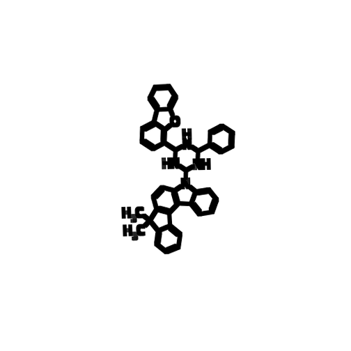 CC1(C)c2ccccc2-c2c1ccc1c2c2ccccc2n1C1NC(c2ccccc2)NC(c2cccc3c2oc2ccccc23)N1